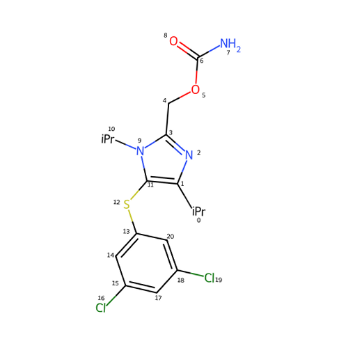 CC(C)c1nc(COC(N)=O)n(C(C)C)c1Sc1cc(Cl)cc(Cl)c1